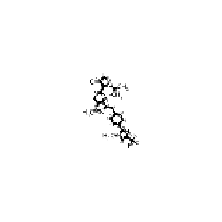 CC(C)n1ncc(Cl)c1-c1ncc2c(n1)c(Cc1ccc(-c3nc(C(F)(F)F)cn3C)cc1)nn2C